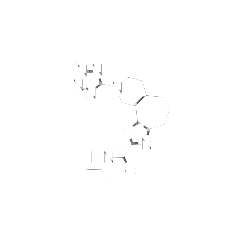 CC(C)NC(=O)c1nc2c(s1)C1=C(CCC2)CCN(c2nnn(C)n2)C1